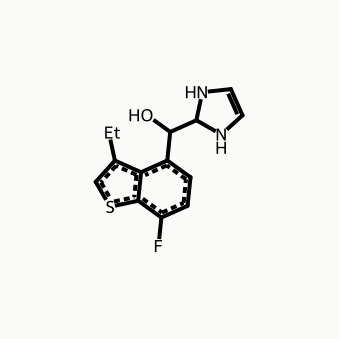 CCc1csc2c(F)ccc(C(O)C3NC=CN3)c12